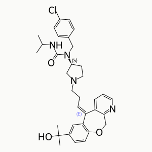 CC(C)NC(=O)N(Cc1ccc(Cl)cc1)[C@H]1CCN(CC/C=C2/c3cc(C(C)(C)O)ccc3OCc3ncccc32)C1